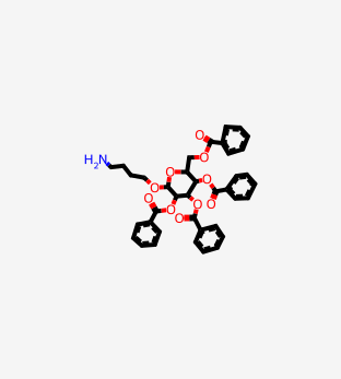 NCCCCOC1OC(COC(=O)c2ccccc2)C(OC(=O)c2ccccc2)C(OC(=O)c2ccccc2)C1OC(=O)c1ccccc1